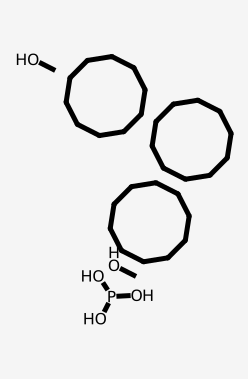 C1CCCCCCCCC1.C1CCCCCCCCC1.C1CCCCCCCCC1.CO.CO.OP(O)O